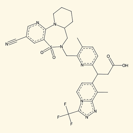 Cc1ccc(C(CC(=O)O)c2ccn3c(C(F)(F)F)nnc3c2C)nc1CN1CC2CCCCN2c2ncc(C#N)cc2S1(=O)=O